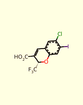 O=C(O)C1=Cc2cc(Cl)c(I)cc2O[C@@H]1C(F)(F)F